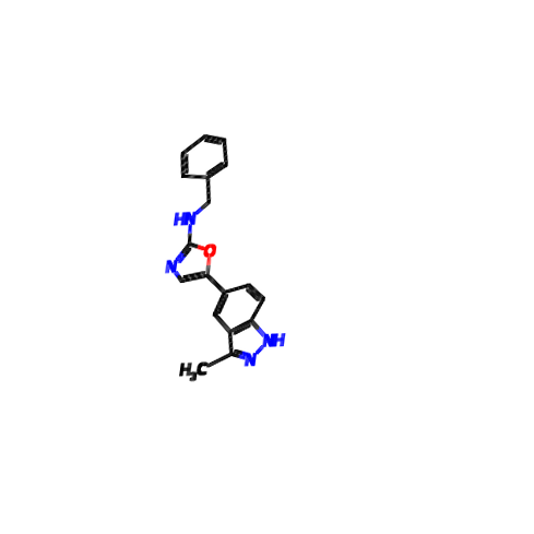 Cc1n[nH]c2ccc(-c3cnc(NCc4ccccc4)o3)cc12